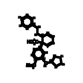 COc1ccc(C2(C(=O)O)C=CC=CC2CCc2ccncc2)cc1OC1CCCC1